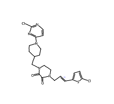 O=C1C(=O)N(CC2CCN(c3ccnc(Cl)n3)CC2)CCN1C/C=C/c1ccc(Cl)s1